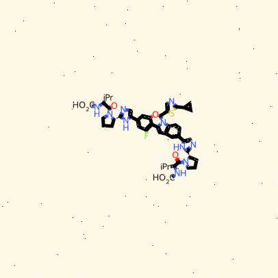 CC(C)C(NC(=O)O)C(=O)N1CCC[C@H]1c1ncc(-c2cc(F)c3c(c2)OC(c2cnc(C4CC4)s2)n2c-3cc3cc(-c4cnc([C@@H]5CCCN5C(=O)C(NC(=O)O)C(C)C)[nH]4)ccc32)[nH]1